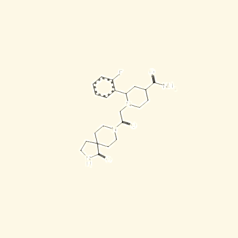 NC(=O)C1CCN(CC(=O)N2CCC3(CCNC3=O)CC2)C(c2ccccc2F)C1